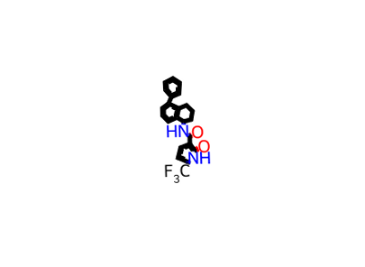 O=C(NC1CCCc2c(-c3ccccc3)cccc21)c1ccc(C(F)(F)F)[nH]c1=O